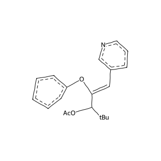 CC(=O)OC(C(=Cc1cccnc1)Oc1ccccc1)C(C)(C)C